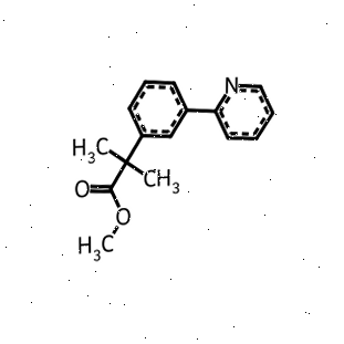 COC(=O)C(C)(C)c1cccc(-c2ccccn2)c1